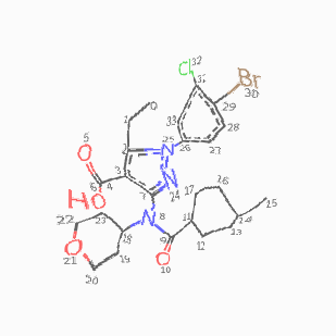 CCc1c(C(=O)O)c(N(C(=O)C2CCC(C)CC2)C2CCOCC2)nn1-c1ccc(Br)c(Cl)c1